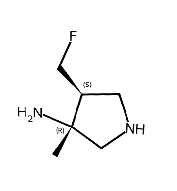 C[C@]1(N)CNC[C@@H]1CF